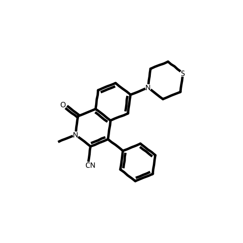 Cn1c(C#N)c(-c2ccccc2)c2cc(N3CCSCC3)ccc2c1=O